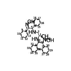 CC(CNC(C(=NO)c1ccccc1)c1ccccc1)NC(C(=NO)c1ccccc1)c1ccccc1